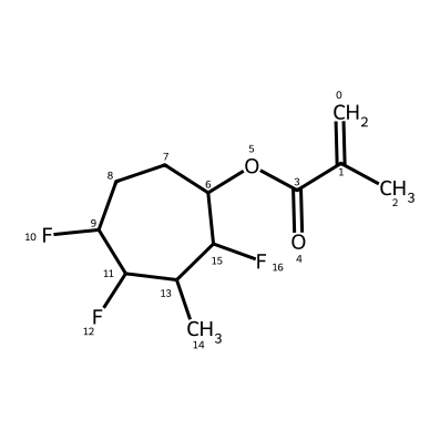 C=C(C)C(=O)OC1CCC(F)C(F)C(C)C1F